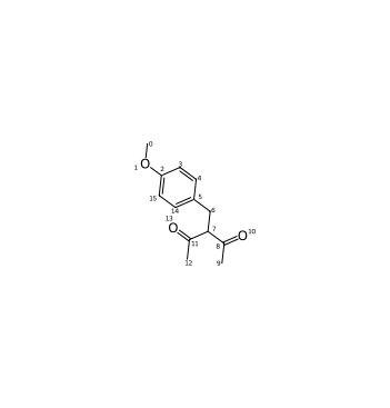 COc1ccc(CC(C(C)=O)C(C)=O)cc1